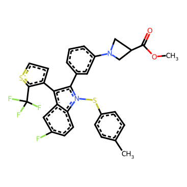 COC(=O)C1CN(c2cccc(-c3c(-c4ccsc4C(F)(F)F)c4cc(F)ccc4n3Sc3ccc(C)cc3)c2)C1